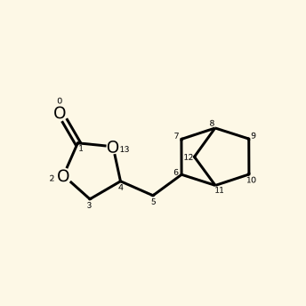 O=C1OCC(CC2CC3CCC2C3)O1